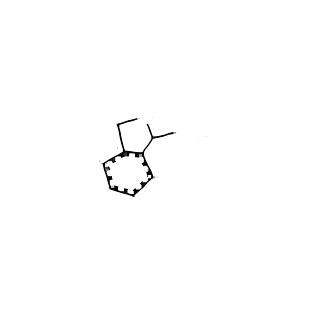 CCOC(=O)C1OCc2ccccc21